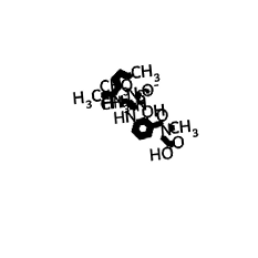 Cc1ccc(C(Nc2n[s+]([O-])nc2Nc2cccc(C(=O)N(C)CC(=O)O)c2O)C(C)(C)C)o1